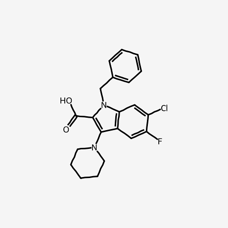 O=C(O)c1c(N2CCCCC2)c2cc(F)c(Cl)cc2n1Cc1ccccc1